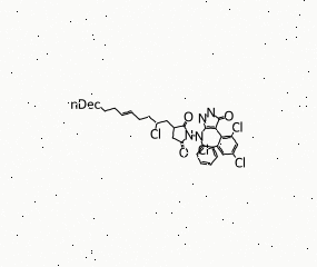 CCCCCCCCCCCCC=CCCC(Cl)CC1CC(=O)N(N(C2=C(c3c(Cl)cc(Cl)cc3Cl)C(=O)N=N2)c2ccccc2)C1=O